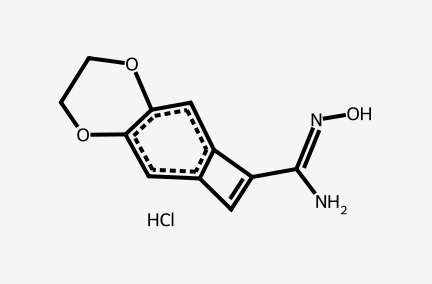 Cl.NC(=NO)C1=Cc2cc3c(cc21)OCCO3